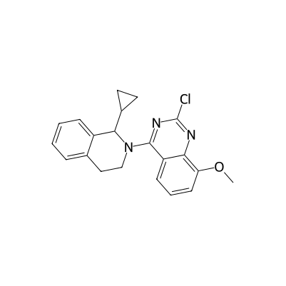 COc1cccc2c(N3CCc4ccccc4C3C3CC3)nc(Cl)nc12